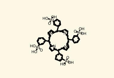 O=[As](O)(O)c1cccc(-c2c3nc(c(-c4cccc([As](=O)(O)O)c4)c4ccc([nH]4)c(-c4cccc([As](=O)(O)O)c4)c4nc(c(-c5cccc([As](=O)(O)O)c5)c5ccc2[nH]5)C=C4)C=C3)c1